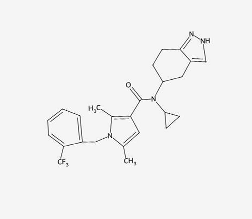 Cc1cc(C(=O)N(C2CC2)C2CCc3n[nH]cc3C2)c(C)n1Cc1ccccc1C(F)(F)F